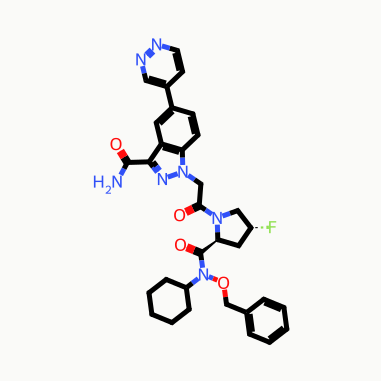 NC(=O)c1nn(CC(=O)N2C[C@H](F)C[C@H]2C(=O)N(OCc2ccccc2)C2CCCCC2)c2ccc(-c3ccnnc3)cc12